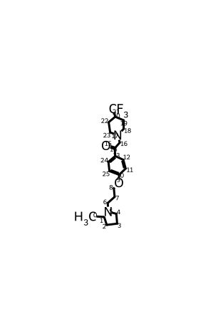 CC1CCCN1CCCOc1ccc(C(=O)CN2CCC(C(F)(F)F)CC2)cc1